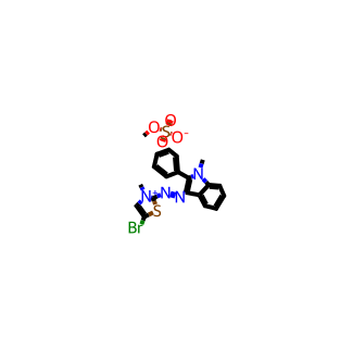 COS(=O)(=O)[O-].Cn1c(-c2ccccc2)c(N=Nc2sc(Br)c[n+]2C)c2ccccc21